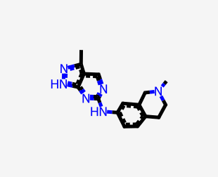 Cc1n[nH]c2nc(Nc3ccc4c(c3)CN(C)CC4)ncc12